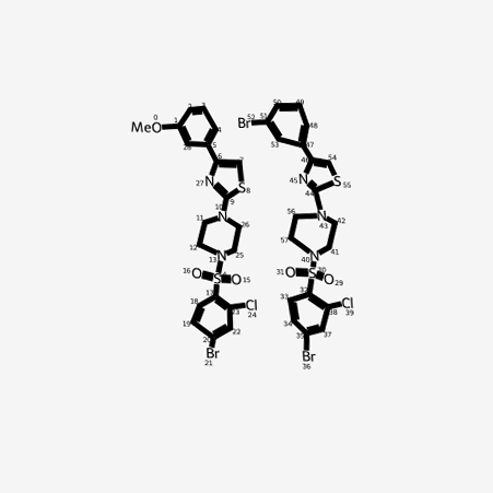 COc1cccc(-c2csc(N3CCN(S(=O)(=O)c4ccc(Br)cc4Cl)CC3)n2)c1.O=S(=O)(c1ccc(Br)cc1Cl)N1CCN(c2nc(-c3cccc(Br)c3)cs2)CC1